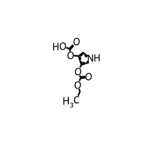 CCOC(=O)Oc1c[nH]cc1OC(=O)O